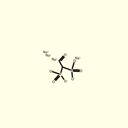 O=CC(P(=O)([O-])[O-])P(=O)([O-])[O-].[Na+].[Na+].[Na+].[Na+]